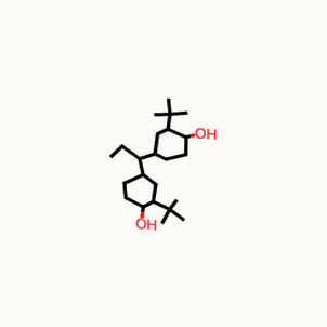 CCC(C1CCC(O)C(C(C)(C)C)C1)C1CCC(O)C(C(C)(C)C)C1